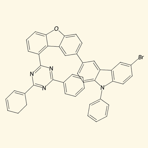 Brc1ccc2c(c1)c1cc(-c3ccc4oc5cccc(-c6nc(C7=CC=CCC7)nc(-c7ccccc7)n6)c5c4c3)ccc1n2-c1ccccc1